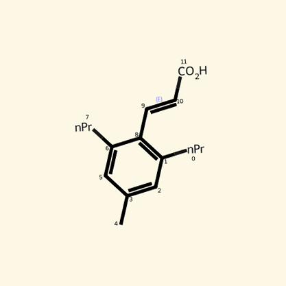 CCCc1cc(C)cc(CCC)c1/C=C/C(=O)O